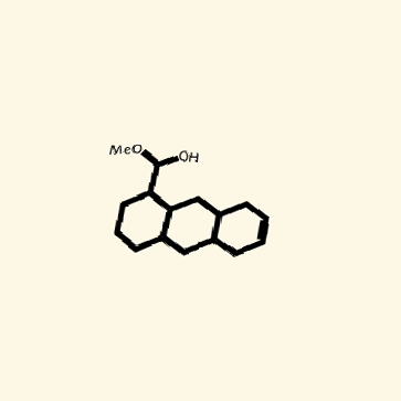 COC(O)C1CCCC2CC3CC=CCC3CC21